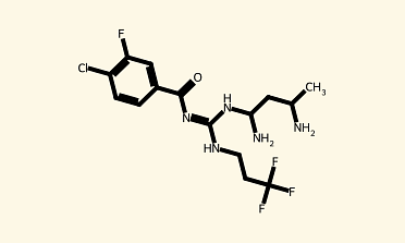 CC(N)CC(N)N/C(=N\C(=O)c1ccc(Cl)c(F)c1)NCCC(F)(F)F